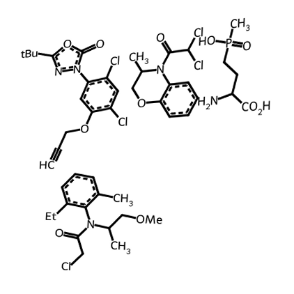 C#CCOc1cc(-n2nc(C(C)(C)C)oc2=O)c(Cl)cc1Cl.CC1COc2ccccc2N1C(=O)C(Cl)Cl.CCc1cccc(C)c1N(C(=O)CCl)C(C)COC.CP(=O)(O)CCC(N)C(=O)O